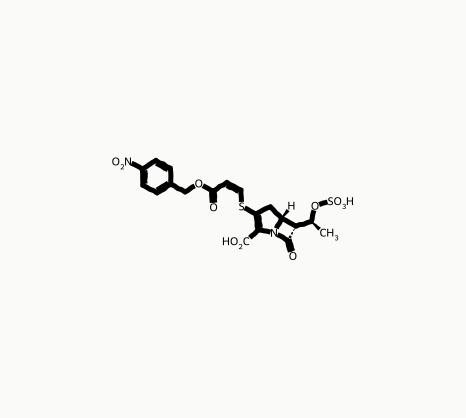 C[C@H](OS(=O)(=O)O)[C@@H]1C(=O)N2C(C(=O)O)=C(S/C=C\C(=O)OCc3ccc([N+](=O)[O-])cc3)C[C@H]12